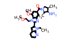 CCn1c(-c2nc3cc(C(=O)N4C[C@@H](C)C(N)C4C)cc(OC)c3n2CCOC)cc2cccnc21